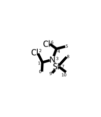 CC(Cl)N(C(C)Cl)[Si](C)(C)C